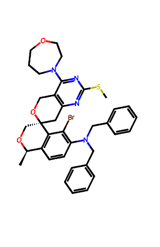 CSc1nc2c(c(N3CCCOCC3)n1)CO[C@@]1(CO[C@H](C)c3ccc(N(Cc4ccccc4)Cc4ccccc4)c(Br)c31)C2